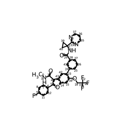 CNC(=O)c1c(-c2ccc(F)cc2)oc2cc(OCC(F)(F)F)c(-c3cccc(C(=O)NC4(c5ncccn5)CC4)c3)cc12